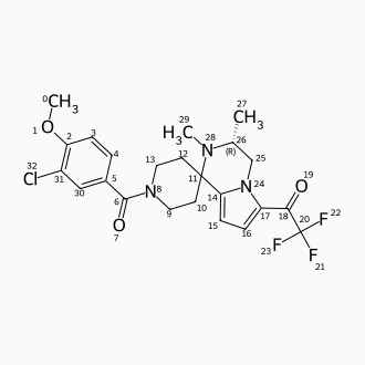 COc1ccc(C(=O)N2CCC3(CC2)c2ccc(C(=O)C(F)(F)F)n2C[C@@H](C)N3C)cc1Cl